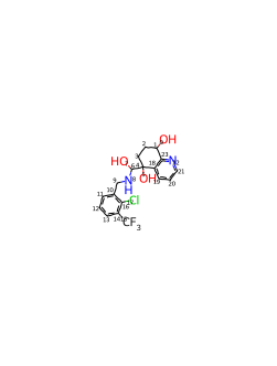 OC1CCC(O)(C(O)NCc2cccc(C(F)(F)F)c2Cl)c2cccnc21